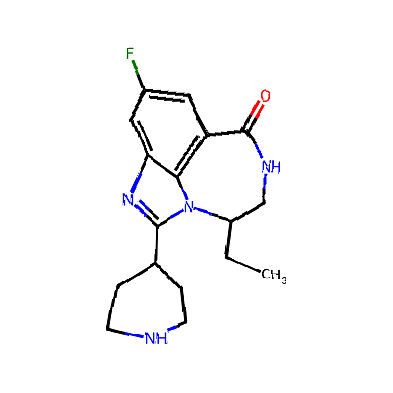 CCC1CNC(=O)c2cc(F)cc3nc(C4CCNCC4)n1c23